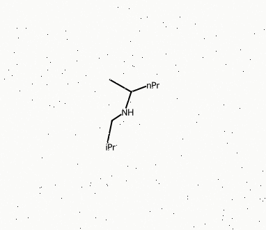 CCCC(C)NCC(C)C